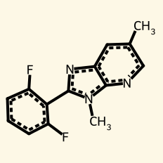 Cc1cnc2c(c1)nc(-c1c(F)cccc1F)n2C